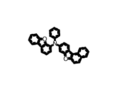 c1ccc(N(c2ccc3c(c2)oc2ccc4ccccc4c23)c2cccc3c2oc2ccccc23)cc1